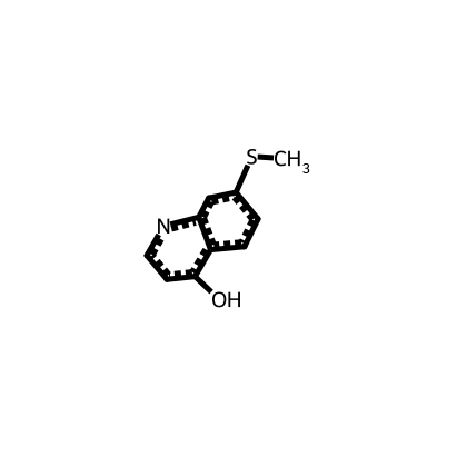 CSc1ccc2c(O)ccnc2c1